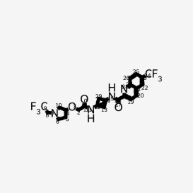 O=C(COC1CCN(CC(F)(F)F)C1)NC12CC(NC(=O)c3ccc4cc(C(F)(F)F)ccc4n3)(C1)C2